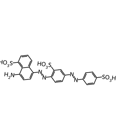 Nc1ccc(/N=N/c2ccc(/N=N/c3ccc(S(=O)(=O)O)cc3)cc2S(=O)(=O)O)c2cccc(S(=O)(=O)O)c12